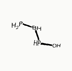 OPBP